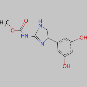 COC(=O)NC1=NC(c2cc(O)cc(O)c2)CN1